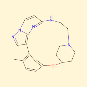 Cc1ccc2cc1-c1cnn3ccc(nc13)NCCN1CCC(CC1)O2